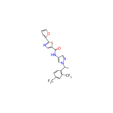 CC(c1ccc(C(F)(F)F)cc1C(F)(F)F)n1cc(NC(=O)c2cnc(-c3ccco3)s2)cn1